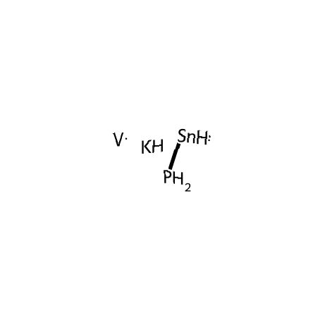 [KH].[PH2][SnH].[V]